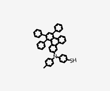 Cc1ccc(N(c2ccc(S)cc2)c2ccc3c(c2)c2ccccc2c2c(-c4ccccc4)cc(-c4ccccc4)c(-c4ccccc4)c32)cc1